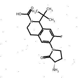 CC(C)(C)C1c2cc(F)c(N3CC[C@H](N)C3=O)cc2CCN1C(=O)O